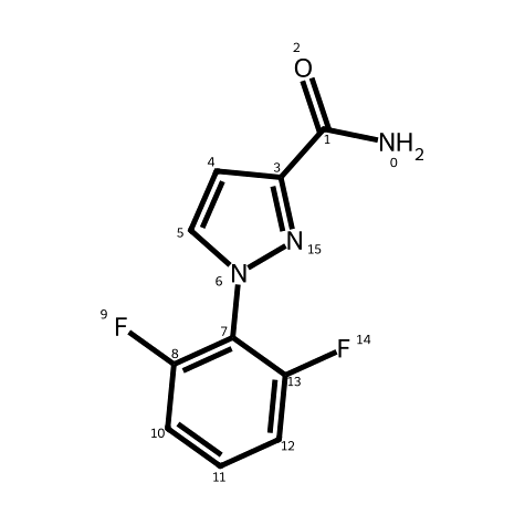 NC(=O)c1ccn(-c2c(F)cccc2F)n1